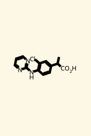 CC(C(=O)O)c1ccc(Nc2ncccn2)c(Cl)c1